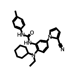 CCN(c1ccc(-n2cccc2C#N)cc1NC(=O)Nc1ccc(C)cc1)C1CCCCC1